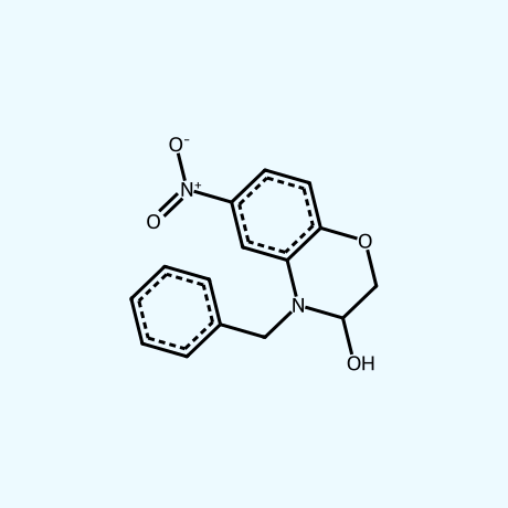 O=[N+]([O-])c1ccc2c(c1)N(Cc1ccccc1)C(O)CO2